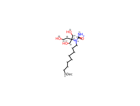 CCCCCCCCCCCCCCCCCCN(C(N)=O)C(CO)(CO)CCO